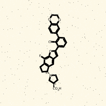 O=C(O)[C@@H]1CCN([C@@H]2CCc3c2cc2cc(-c4cccc(-c5ccc6c(c5)OCCO6)c4Cl)oc2c3F)C1